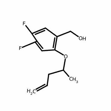 C=CCC(C)Oc1cc(F)c(F)cc1CO